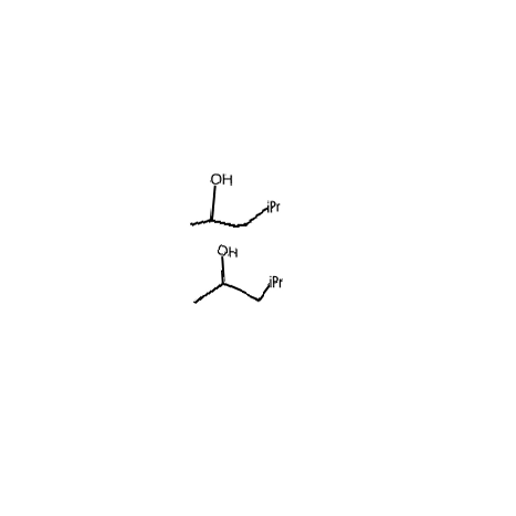 CC(C)CC(C)O.CC(C)CC(C)O